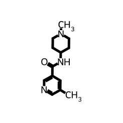 Cc1cncc(C(=O)NC2CCN(C)CC2)c1